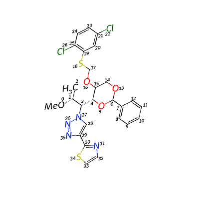 CO[C@H](C)C([C@H]1OC(c2ccccc2)OCC1OCSc1cc(Cl)ccc1Cl)n1cc(-c2nccs2)nn1